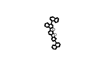 c1ccc2c(-c3ccc4c(c3)oc3c4ccc4c3oc3cc(-c5cccc6ccccc56)c5ccccc5c34)cccc2c1